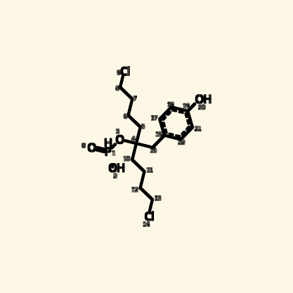 O=[PH](O)OC(CCCCCl)(CCCCCl)Cc1ccc(O)cc1